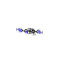 CC(C)(c1ccc(-c2cn[nH]c2)cc1)C(C)(C)c1ccc(-c2cn[nH]c2)cn1